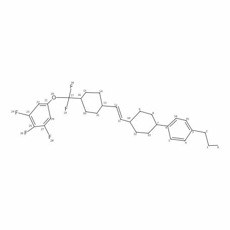 CCCc1ccc(C2CCC(/C=C/C3CCC(C(F)(F)Oc4cc(F)c(F)c(F)c4)CC3)CC2)cc1